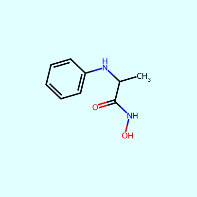 CC(Nc1ccccc1)C(=O)NO